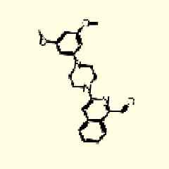 COc1cc(OC)cc(N2CCN(c3cc4ccccc4c(C=O)n3)CC2)c1